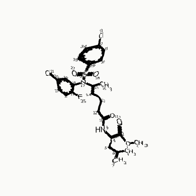 COC(=O)[C@@H](CC(C)C)NC(=O)CCCC(C)N(c1cc(Cl)ccc1F)S(=O)(=O)c1ccc(Cl)cc1